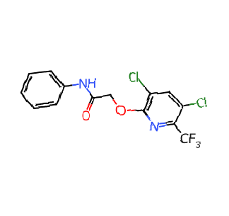 O=C(COc1nc(C(F)(F)F)c(Cl)cc1Cl)Nc1ccccc1